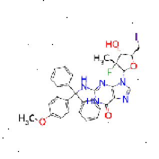 COc1ccc(C(Nc2nc3c(ncn3[C@H]3O[C@H](CI)[C@@H](O)[C@@]3(C)F)c(=O)[nH]2)(c2ccccc2)c2ccccc2)cc1